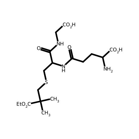 CCOC(=O)C(C)(C)CSCC(NC(=O)CCC(N)C(=O)O)C(=O)NCC(=O)O